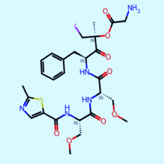 COC[C@H](NC(=O)c1cnc(C)s1)C(=O)N[C@@H](COC)C(=O)N[C@@H](Cc1ccccc1)C(=O)[C@@](C)(CI)OC(=O)CN